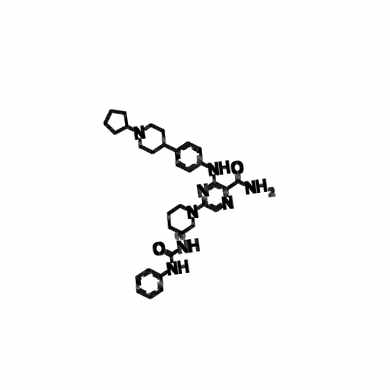 NC(=O)c1ncc(N2CCC[C@@H](NC(=O)Nc3ccccc3)C2)nc1Nc1ccc(C2CCN(C3CCCC3)CC2)cc1